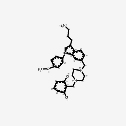 NCCCc1cn(-c2ccc(OC(F)(F)F)cc2)c2cc(CN3CCN(Cc4c(Cl)cccc4Cl)CC3)ccc12